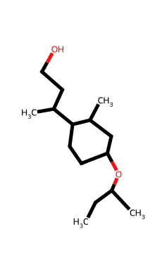 CCC(C)OC1CCC(C(C)CCO)C(C)C1